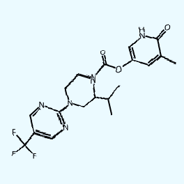 Cc1cc(OC(=O)N2CCN(c3ncc(C(F)(F)F)cn3)CC2C(C)C)c[nH]c1=O